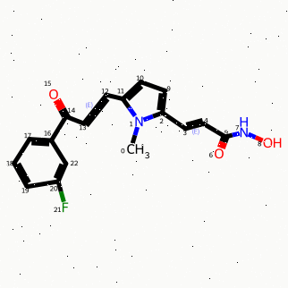 Cn1c(/C=C/C(=O)NO)ccc1/C=C/C(=O)c1cccc(F)c1